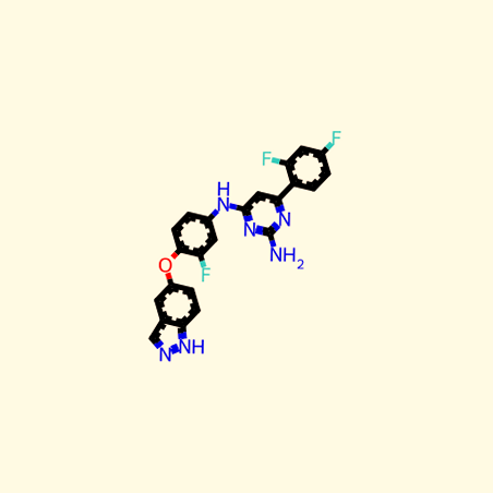 Nc1nc(Nc2ccc(Oc3ccc4[nH]ncc4c3)c(F)c2)cc(-c2ccc(F)cc2F)n1